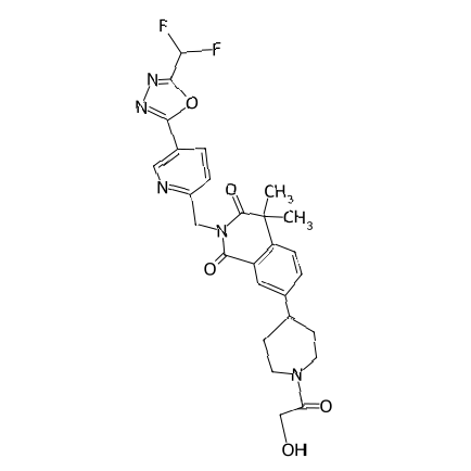 CC1(C)C(=O)N(Cc2ccc(-c3nnc(C(F)F)o3)cn2)C(=O)c2cc(C3CCN(C(=O)CO)CC3)ccc21